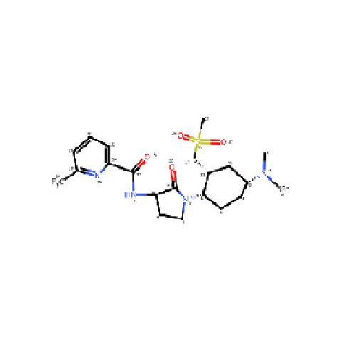 CC(C)N(C)[C@@H]1CC[C@H](N2CCC(NC(=O)c3cccc(C(F)(F)F)n3)C2=O)[C@H](CS(C)(=O)=O)C1